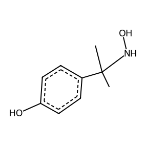 CC(C)(NO)c1ccc(O)cc1